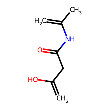 C=C(O)CC(=O)NC(=C)C